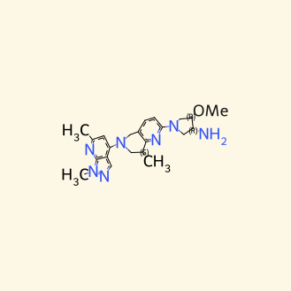 CO[C@@H]1CN(c2ccc3c(n2)[C@@H](C)CN(c2cc(C)nc4c2cnn4C)C3)C[C@H]1N